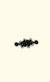 O=C1c2ccc3c4c(Br)cc5c6c(ccc(c7c(Br)cc(c2c37)C(=O)N1CCc1ccccc1)c64)C(=O)N(CCc1ccccc1)C5=O